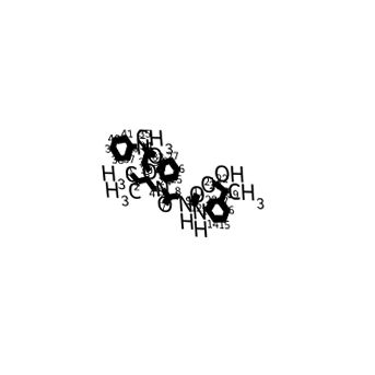 CC(C)CCN(C(=O)CNC(=O)Nc1cccc(C(C)C(=O)O)c1)c1ccccc1OCC(=O)N(C)c1ccccc1